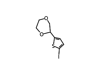 Ic1ccc(C2COCCO2)s1